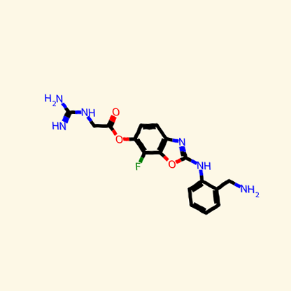 N=C(N)NCC(=O)Oc1ccc2nc(Nc3ccccc3CN)oc2c1F